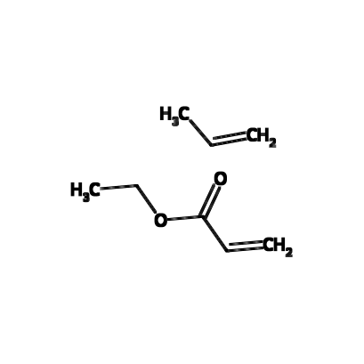 C=CC.C=CC(=O)OCC